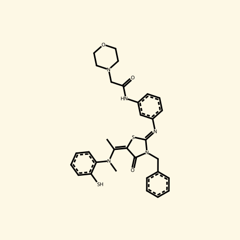 C/C(=C1\SC(=Nc2cccc(NC(=O)CN3CCOCC3)c2)N(Cc2ccccc2)C1=O)N(C)c1ccccc1S